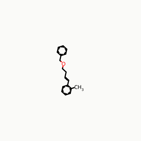 Cc1ccccc1/C=C/CCOCc1ccccc1